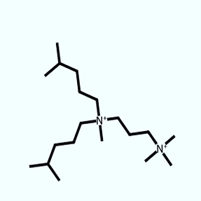 CC(C)CCC[N+](C)(CCCC(C)C)CCC[N+](C)(C)C